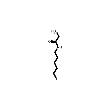 CCC(=O)NCCCCCI